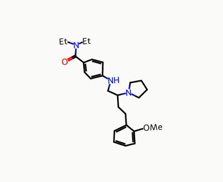 CCN(CC)C(=O)c1ccc(NCC(CCc2ccccc2OC)N2CCCC2)cc1